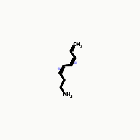 C=C/C=C\C=C/CCN